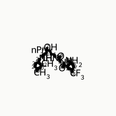 CCCC(O)(CCCNC(=O)CNC(=O)c1cc(C(F)(F)F)ccc1N)CCNCc1ccc(C)cc1C